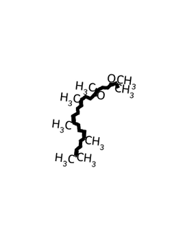 CC(C)=CCCC(C)=CCCC(C)=CCCC=C(C)CCC1OC1(C)CCC1OC1(C)C